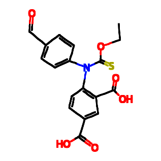 CCOC(=S)N(c1ccc(C=O)cc1)c1ccc(C(=O)O)cc1C(=O)O